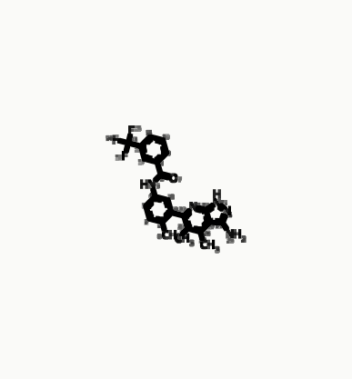 Cc1ccc(NC(=O)c2cccc(C(F)(F)F)c2)cc1-c1nc2[nH]nc(N)c2c(C)c1C